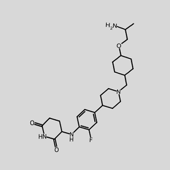 CC(N)COC1CCC(CN2CCC(c3ccc(NC4CCC(=O)NC4=O)c(F)c3)CC2)CC1